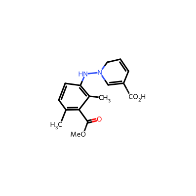 COC(=O)c1c(C)ccc(NN2C=C(C(=O)O)C=CC2)c1C